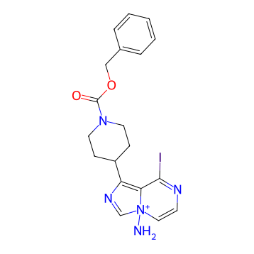 N[N+]12C=CN=C(I)C1=C(C1CCN(C(=O)OCc3ccccc3)CC1)N=C2